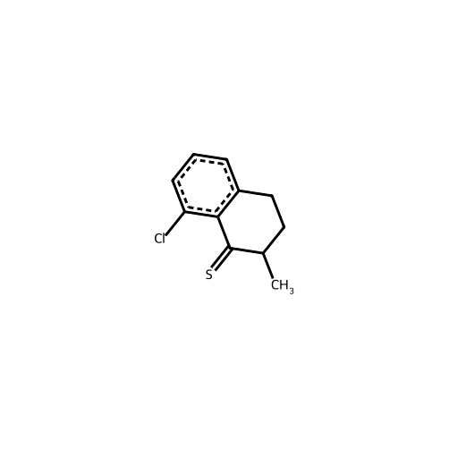 CC1CCc2cccc(Cl)c2C1=S